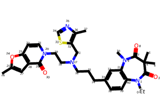 CCN1C(=O)C(C)(C)C(=O)N(C)c2cc(CCCN(CCn3ccc4oc(C)cc4c3=O)Cc3scnc3C)ccc21